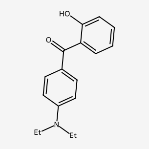 CCN(CC)c1ccc(C(=O)c2ccccc2O)cc1